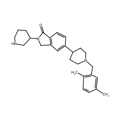 Cc1ccc(C)c(CN2CCC(c3ccc4c(c3)CN(C3CCCNC3)C4=O)CC2)c1